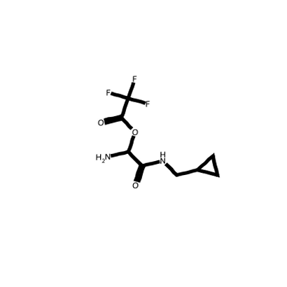 NC(OC(=O)C(F)(F)F)C(=O)NCC1CC1